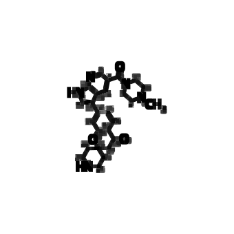 CN1CCN(C(=O)c2cnc3[nH]cc(-c4ccc5c(c4)OC4(CCNCC4)CC5=O)c3c2)CC1